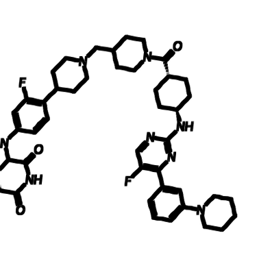 O=C1CCC(Nc2ccc(C3CCN(CC4CCN(C(=O)[C@H]5CC[C@H](Nc6ncc(F)c(-c7cccc(N8CCCCC8)c7)n6)CC5)CC4)CC3)c(F)c2)C(=O)N1